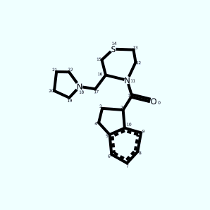 O=C(C1CCc2ccccc21)N1CCSCC1CN1CCCC1